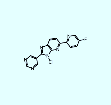 Fc1ccc(-c2ccc3nc(-c4cncnc4)n(Cl)c3n2)nc1